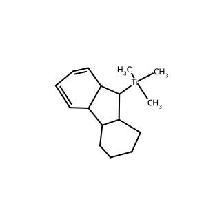 [CH3][Ti]([CH3])([CH3])[CH]1C2C=CC=CC2C2CCCCC21